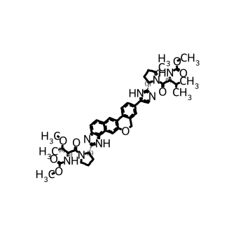 COC(=O)N[C@H](C(=O)N1[C@@H](C)CC[C@H]1c1ncc(-c2ccc3c(c2)COc2cc4c(ccc5nc([C@@H]6CCCN6C(=O)[C@@H](NC(=O)OC)[C@@H](C)OC)[nH]c54)cc2-3)[nH]1)C(C)C